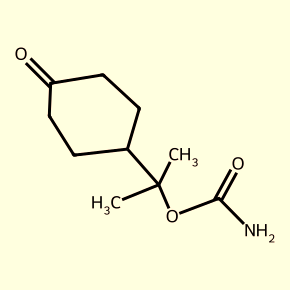 CC(C)(OC(N)=O)C1CCC(=O)CC1